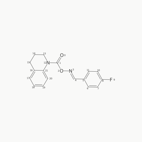 O=C(ON=Cc1ccc(F)cc1)N1CCCc2ccccc21